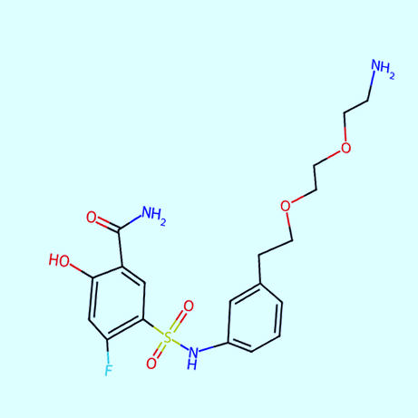 NCCOCCOCCc1cccc(NS(=O)(=O)c2cc(C(N)=O)c(O)cc2F)c1